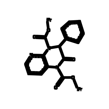 CC(C)OC(=O)N1C(=O)C(c2ccccc2)N(C(=O)OC(C)C)c2ncccc21